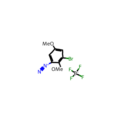 COc1cc(Br)c(OC)c([N+]#N)c1.F[B-](F)(F)F